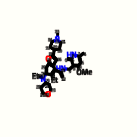 C=C1NC(C)=CC(OC)=C1CNC(=C)c1c(CC)c(N(CC)C2CCOCC2)cc2oc(C3CCN(C)CC3)cc12